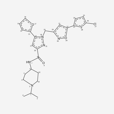 CC(C)N1CCC(NC(=O)c2cc(-c3ccco3)n(Cc3cc(-c4ccc(Cl)s4)on3)n2)CC1